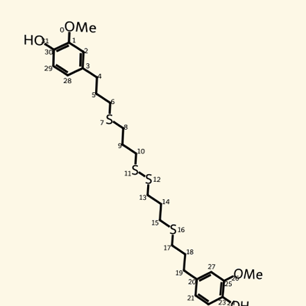 COc1cc(CCCSCCCSSCCCSCCCc2ccc(O)c(OC)c2)ccc1O